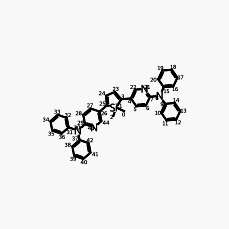 C[Si]1(C)C(c2ccc(N(c3ccccc3)c3ccccc3)nc2)=CC=C1c1ccc(N(c2ccccc2)c2ccccc2)nc1